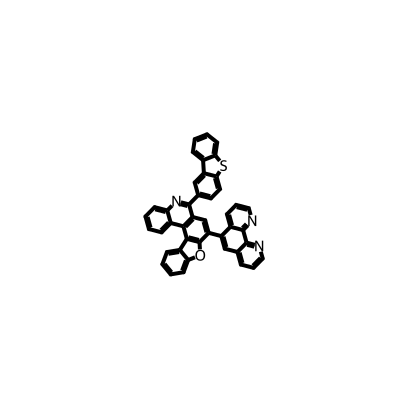 c1cnc2c(c1)cc(-c1cc3c(-c4ccc5sc6ccccc6c5c4)nc4ccccc4c3c3c1oc1ccccc13)c1cccnc12